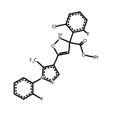 CC(C)OC(=O)C1(c2c(F)cccc2Cl)C=C(c2cnn(-c3ccccc3F)c2C(F)(F)F)ON1